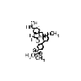 CNC1CCC(Cc2cc(-c3ccc(S(=O)(=O)N(C)C)cc3)ccc2OC)(NC(=O)C(F)(F)F)CC1